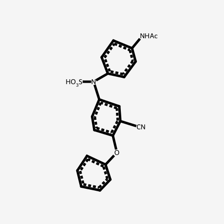 CC(=O)Nc1ccc(N(c2ccc(Oc3ccccc3)c(C#N)c2)S(=O)(=O)O)cc1